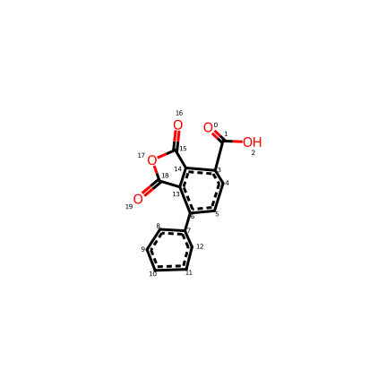 O=C(O)c1ccc(-c2ccccc2)c2c1C(=O)OC2=O